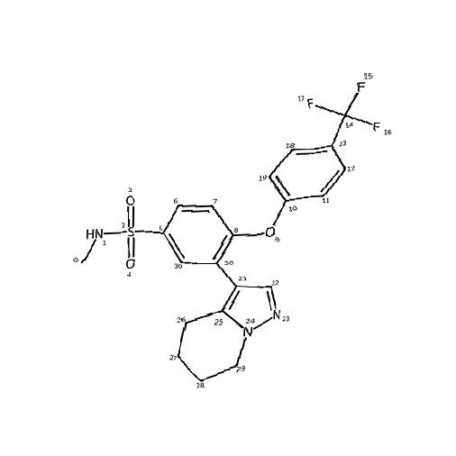 CNS(=O)(=O)c1ccc(Oc2ccc(C(F)(F)F)cc2)c(-c2cnn3c2CCCC3)c1